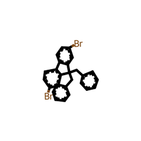 Brc1ccc2c(c1)C(Cc1ccccc1)(Cc1ccccc1)c1cc(Br)ccc1-2